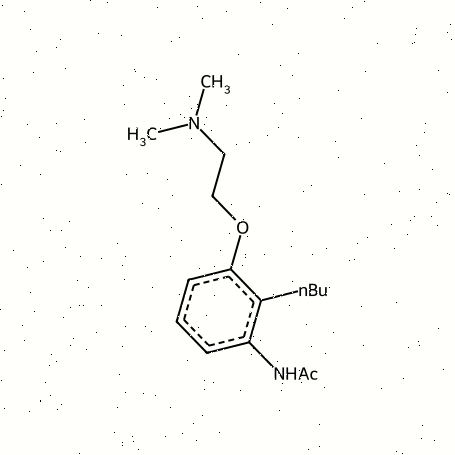 CCCCc1c(NC(C)=O)cccc1OCCN(C)C